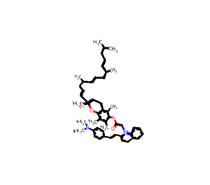 Cc1c(C)c2c(c(C)c1OC(=O)C[n+]1c(/C=C/c3ccc(N(C)C)cc3)ccc3ccccc31)CCC(C)(CCCC(C)CCCC(C)CCCC(C)C)O2